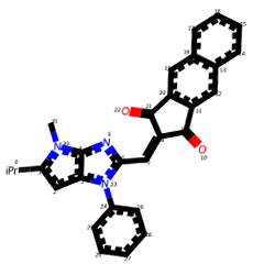 CC(C)c1cc2c(nc(C=C3C(=O)c4cc5ccccc5cc4C3=O)n2-c2ccccc2)n1C